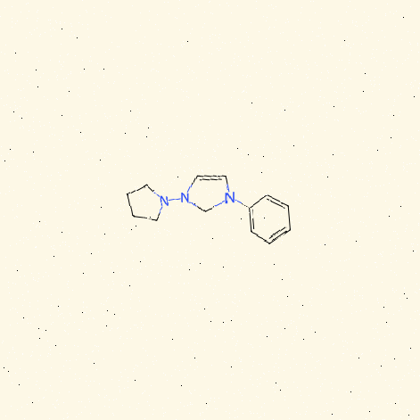 C1=CN(N2CCCC2)CN1c1ccccc1